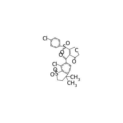 CC1(C)CCS(=O)(=O)c2c1ccc(C(=O)C1=C(S(=O)(=O)c3ccc(Cl)cc3)CCCC1=O)c2Cl